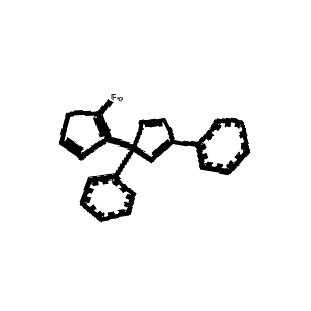 [Fe][C]1=C(C2(c3ccccc3)C=CC(c3ccccc3)=C2)C=CC1